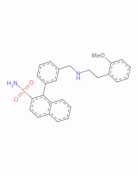 COc1ccccc1CCNCc1cccc(-c2c(S(N)(=O)=O)ccc3ccccc23)c1